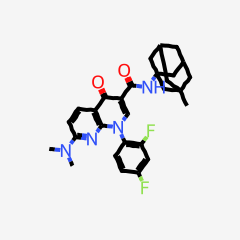 CN(C)c1ccc2c(=O)c(C(=O)NC34CC5CC(CC(C)(C5)C3)C4)cn(-c3ccc(F)cc3F)c2n1